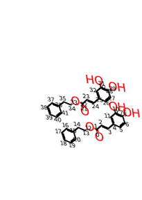 O=C(C=Cc1ccc(O)c(O)c1)OCCc1ccccc1.O=C(C=Cc1ccc(O)c(O)c1)OCCc1ccccc1